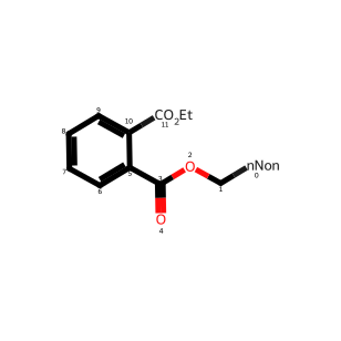 CCCCCCCCCCOC(=O)c1ccccc1C(=O)OCC